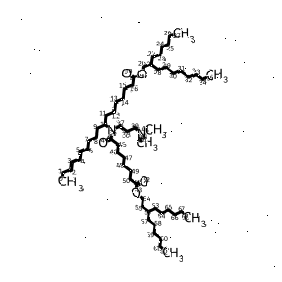 CCCCCCCCCCC(CCCCCCC(=O)OCC(CCCCCC)CCCCCCCC)N(CCCN(C)C)C(=O)CCCCCCC(=O)OCCC(CCCCCC)CCCCCC